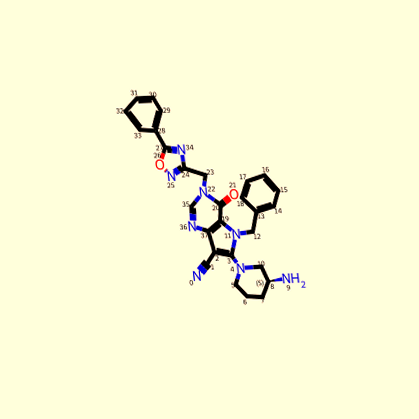 N#Cc1c(N2CCC[C@H](N)C2)n(Cc2ccccc2)c2c(=O)n(Cc3noc(-c4ccccc4)n3)cnc12